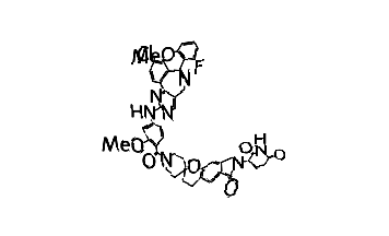 COc1cc(Nc2ncc3c(n2)-c2ccc(Cl)cc2C(c2c(F)cccc2OC)=NC3)ccc1C(=O)N1CCC2(CCc3cc4c(cc3O2)CN(C2CCC(=O)NC2=O)C4=O)CC1